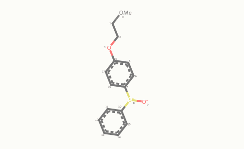 COCCOc1ccc([S+]([O-])c2ccccc2)cc1